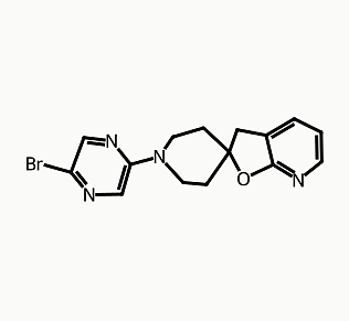 Brc1cnc(N2CCC3(CC2)Cc2cccnc2O3)cn1